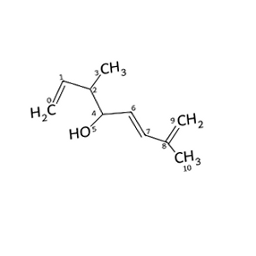 C=CC(C)C(O)C=CC(=C)C